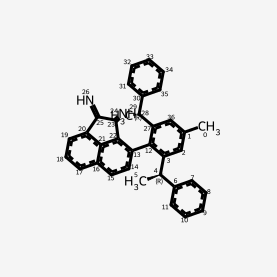 Cc1cc([C@H](C)c2ccccc2)c(-c2ccc3cccc4c3c2C(=N)C4=N)c([C@H](C)c2ccccc2)c1